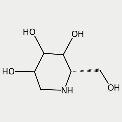 OC[C@@H]1NCC(O)C(O)C1O